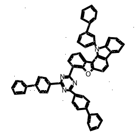 c1ccc(-c2ccc(-c3nc(-c4ccc(-c5ccccc5)cc4)nc(-c4cccc5c4oc4ccc6c7ccccc7n(-c7cccc(-c8ccccc8)c7)c6c45)n3)cc2)cc1